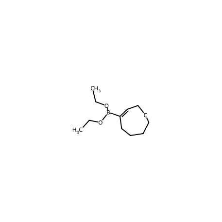 CCOB(OCC)C1=CCCCCCC1